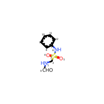 O=CNCS(=O)(=O)Nc1ccccc1